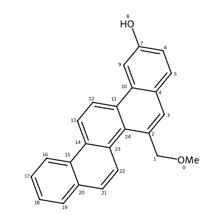 COCc1cc2ccc(O)cc2c2ccc3c4ccccc4ccc3c12